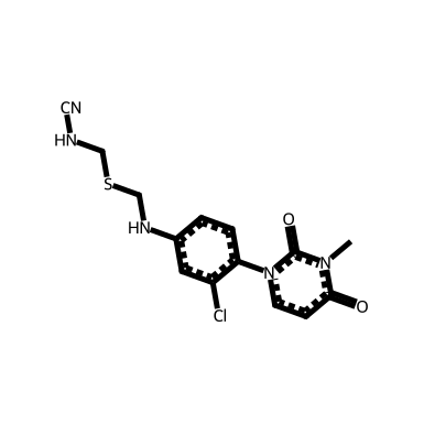 Cn1c(=O)ccn(-c2ccc(NCSCNC#N)cc2Cl)c1=O